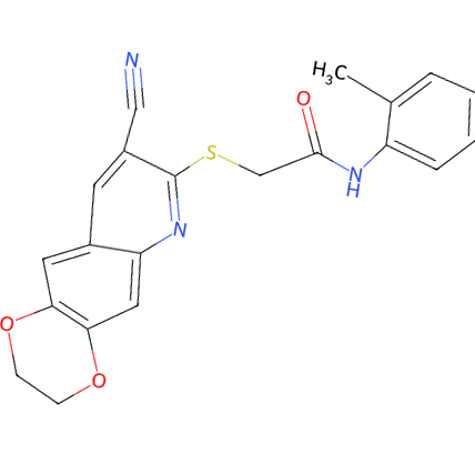 Cc1ccccc1NC(=O)CSc1nc2cc3c(cc2cc1C#N)OCCO3